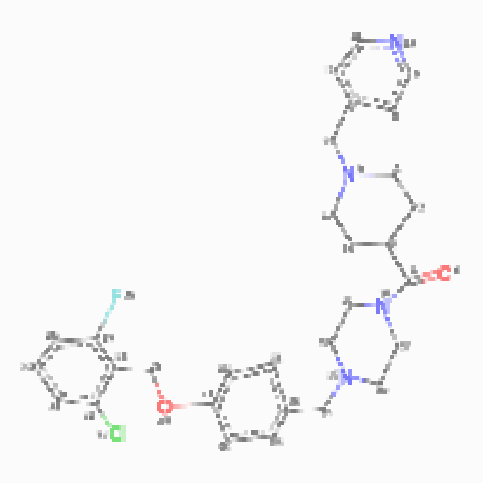 O=C(C1CCN(Cc2ccncc2)CC1)N1CCN(Cc2ccc(OCc3c(F)cccc3Cl)cc2)CC1